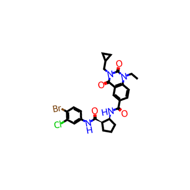 CCn1c(=O)n(CC2CC2)c(=O)c2cc(C(=O)N[C@H]3CCC[C@H]3C(=O)Nc3ccc(Br)c(Cl)c3)ccc21